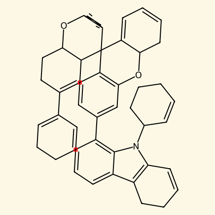 C1=CCC2Oc3cc(-c4cccc5c6c(n(C7C=CCCC7)c45)C=CCC6)ccc3C3(C2=C1)C1C=CC=CC1OC1CCC(C2=CCCC=C2)=CC13